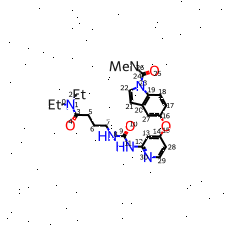 CCN(CC)C(=O)CCCNC(=O)Nc1cc(Oc2ccc3c(ccn3C(=O)NC)c2)ccn1